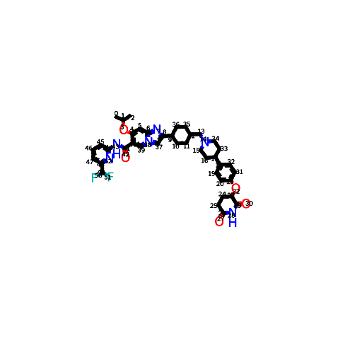 CC(C)Oc1cc2nc(C3CCC(CN4CCC(c5ccc(OC6CCC(=O)NC6=O)cc5)CC4)CC3)cn2cc1C(=O)Nc1cccc(C(F)F)n1